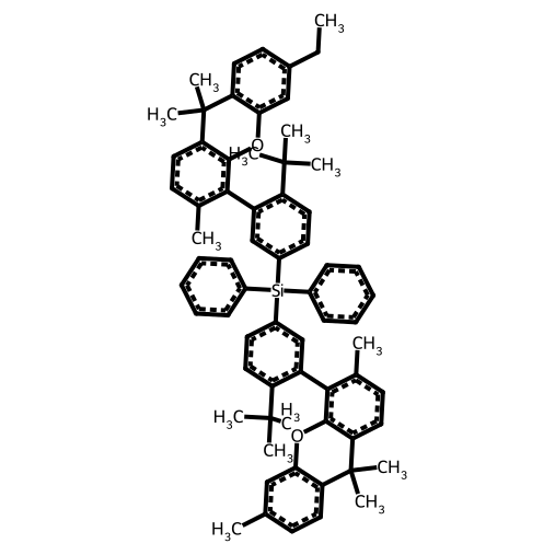 CCc1ccc2c(c1)Oc1c(ccc(C)c1-c1cc([Si](c3ccccc3)(c3ccccc3)c3ccc(C(C)(C)C)c(-c4c(C)ccc5c4Oc4cc(C)ccc4C5(C)C)c3)ccc1C(C)(C)C)C2(C)C